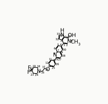 CN1C=C(c2ccc3nc(-c4ccc(OCCN5CCC(F)(F)CC5)cc4)ccc3c2)c2cc[nH]c2C1O